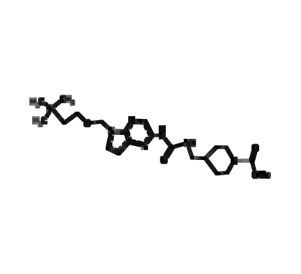 COC(=O)N1CCC(CNC(=O)Nc2cnc3c(ccn3COCC[Si](C)(C)C)n2)CC1